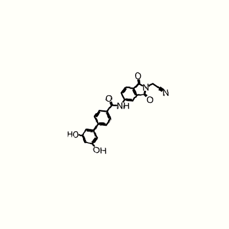 N#CCN1C(=O)c2ccc(NC(=O)c3ccc(-c4cc(O)cc(O)c4)cc3)cc2C1=O